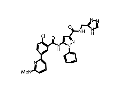 CNc1cccc(-c2ccc(Cl)c(C(=O)Nc3cc(C(=O)NCc4nnc[nH]4)nn3-c3ccccc3)c2)n1